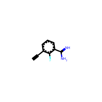 C#Cc1cccc(C(=N)N)c1F